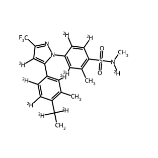 [2H]c1c([2H])c(C([2H])([2H])C)c(C)c([2H])c1-c1c([2H])c(C(F)(F)F)nn1-c1c([2H])c([2H])c(S(=O)(=O)N([2H])C)c(C)c1[2H]